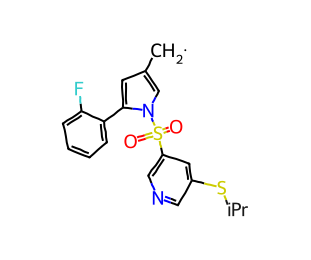 [CH2]c1cc(-c2ccccc2F)n(S(=O)(=O)c2cncc(SC(C)C)c2)c1